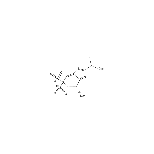 CCCCCCCCCCC(C)C1=NC2=CC(S(=O)(=O)[O-])(S(=O)(=O)[O-])C=CC2=N1.[Na+].[Na+]